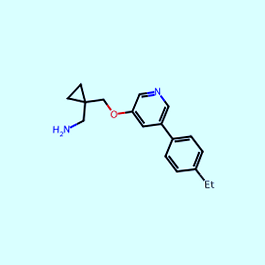 CCc1ccc(-c2cncc(OCC3(CN)CC3)c2)cc1